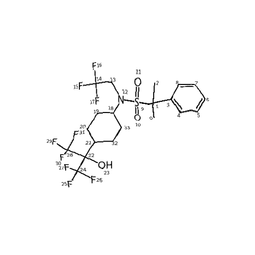 CC(C)(c1ccccc1)S(=O)(=O)N(CC(F)(F)F)C1CCC(C(O)(C(F)(F)F)C(F)(F)F)CC1